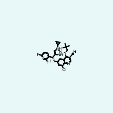 CC(C)(C)CNc1c(C#N)cnc2c(Cl)cc(N[C@H](C3=CN(C4CC4)NN3)c3ccc(F)nc3F)cc12